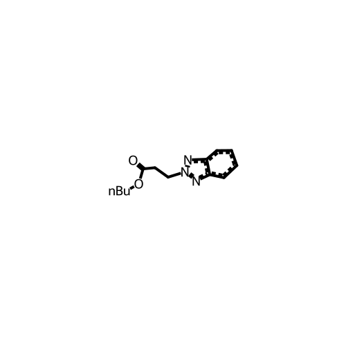 CCCCOC(=O)CCn1nc2ccccc2n1